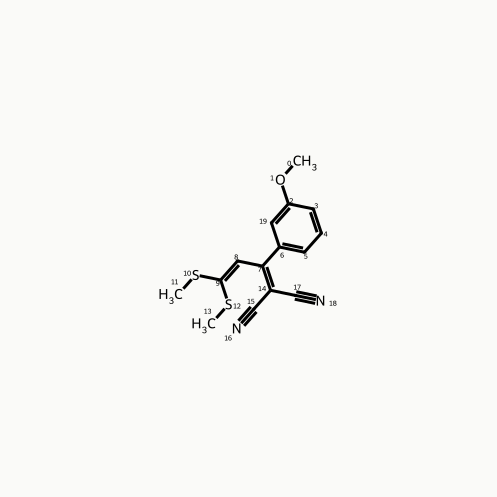 COc1cccc(C(C=C(SC)SC)=C(C#N)C#N)c1